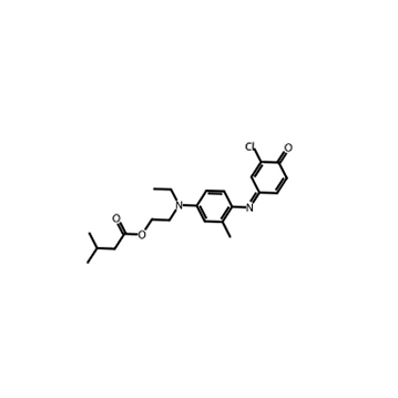 CCN(CCOC(=O)CC(C)C)c1ccc(N=C2C=CC(=O)C(Cl)=C2)c(C)c1